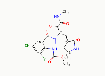 CNC(=O)C(=O)[C@H](C[C@@H]1C[C@@H](C)NC1=O)NC(=O)c1cc(Cl)cc(F)c1NC(=O)OC